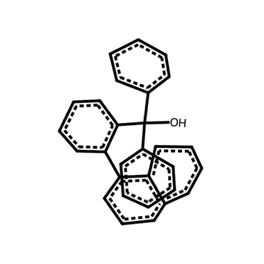 OC(c1ccccc1)(c1ccccc1)c1ccccc1-c1cccc2ccccc12